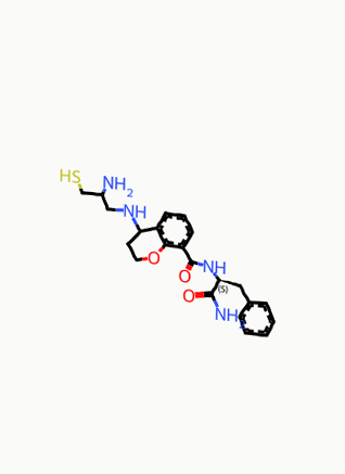 NC(=O)[C@H](Cc1ccccc1)NC(=O)c1cccc2c1OCCC2NCC(N)CS